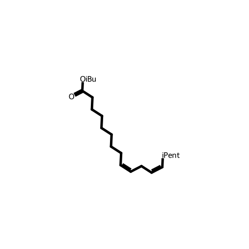 CCCC(C)/C=C\C/C=C\CCCCCCCC(=O)OCC(C)C